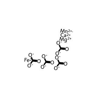 O=C([O-])[O-].O=C([O-])[O-].O=C([O-])[O-].O=C([O-])[O-].[Ca+2].[Fe+2].[Mg+2].[Mn+2]